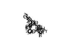 C=CC(=O)N1CCN(c2nc(=O)n3c4nc(c(F)cc24)-c2c(F)cccc2OCC(OCC(F)F)C(O)C(/C=C\NCC(C)C)=C\3)[C@@H](C)C1